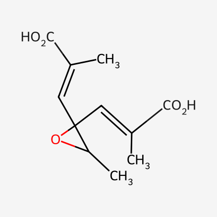 CC(=CC1(C=C(C)C(=O)O)OC1C)C(=O)O